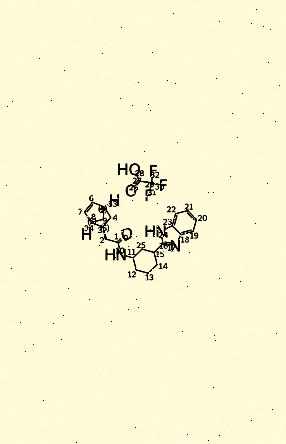 O=C(C[C@@H]1C[C@@H]2C=C[C@H]1C2)NC1CCCC(c2nc3ccccc3[nH]2)C1.O=C(O)C(F)(F)F